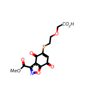 COC(=O)c1noc2c1C(=O)C(SCCOCC(=O)O)=CC2=O